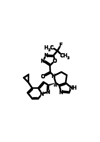 CC(C)(F)c1nnc(C(=O)N2CCc3[nH]cnc3[C@@H]2c2cc3c(C4CC4)cccn3n2)o1